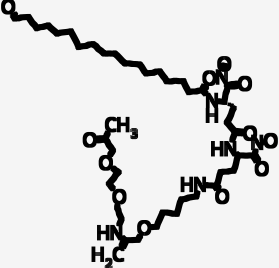 C=C(COCCCCCNC(=O)CCC(NC(=O)CC[C@H](NC(=O)CCCCCCCCCCCCCCCCC=O)C(=O)N=O)C(=O)N=O)NCCOCCOCC(C)=O